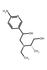 CCN(CC(O)c1ccc(N)nc1)[C@@H](C)CO